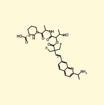 CC(NC(=O)C(OC(=O)C(/C=C/c1ccc2ccc(C(C)N)nc2c1)(CF)CF)C(C)C)C(=O)N1CCC[C@@H](C(=O)O)N1.Cl